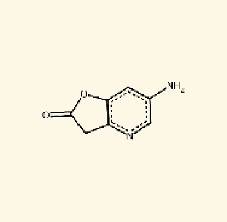 Nc1cnc2c(c1)OC(=O)C2